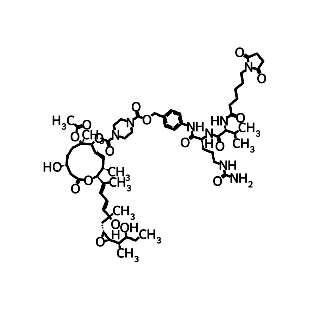 CC[C@H](O)[C@@H](C)[C@H]1O[C@@H]1C[C@@](C)(O)/C=C/C=C(\C)[C@H]1OC(=O)C[C@H](O)CC[C@@](C)(OC(C)=O)[C@@H](OC(=O)N2CCN(C(=O)OCc3ccc(NC(=O)[C@H](CCCNC(N)=O)NC(=O)[C@@H](NC(=O)CCCCCN4C(=O)CCC4=O)C(C)C)cc3)CC2)/C=C/[C@@H]1C